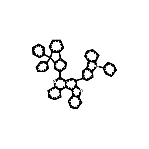 c1ccc(-n2c3ccccc3c3cc(-c4cc5c(-c6ccc7c(c6)C(c6ccccc6)(c6ccccc6)c6ccccc6-7)nc6ccccc6c5c5c4oc4ccccc45)ccc32)cc1